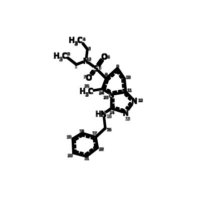 CCN(CC)S(=O)(=O)c1ccc2nnc(NCc3ccccc3)n2c1C